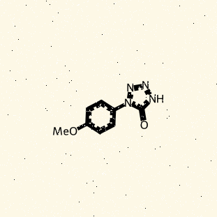 COc1ccc(-n2nn[nH]c2=O)cc1